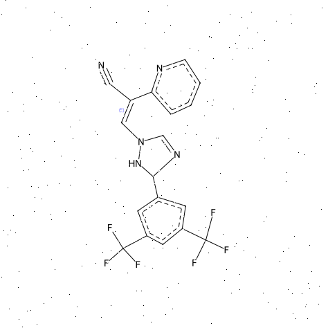 N#C/C(=C/N1C=NC(c2cc(C(F)(F)F)cc(C(F)(F)F)c2)N1)c1ccccn1